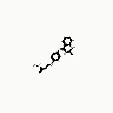 C=C(CCOc1ccc(Nc2nc(C)nc3ccccc23)cc1)OCC